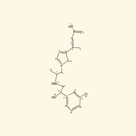 C/C(=C\C(=O)O)c1ccc(CC(C)NCC(O)c2cccc(Cl)n2)s1